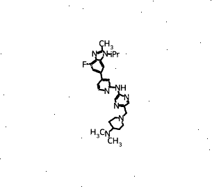 Cc1nc2c(F)cc(-c3ccnc(Nc4cnc(CN5CCC(N(C)C)CC5)cn4)c3)cc2n1C(C)C